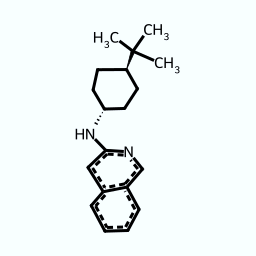 CC(C)(C)[C@H]1CC[C@H](Nc2cc3ccccc3cn2)CC1